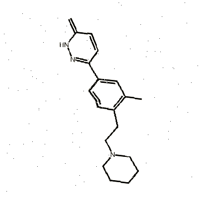 C=C1C=CC(c2ccc(CCN3CCCCC3)c(C)c2)=NN1